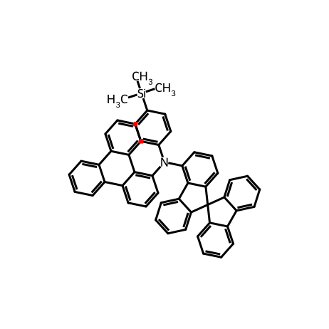 C[Si](C)(C)c1ccc(N(c2cccc3c2-c2ccccc2C32c3ccccc3-c3ccccc32)c2cccc3c4ccccc4c4ccccc4c23)cc1